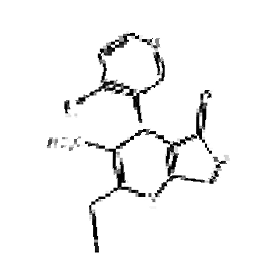 CCc1ccncc1[C@@H]1C(C(=O)O)=C(CF)NC2=C1C(=O)OC2